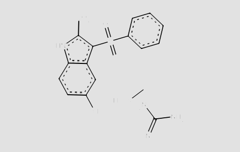 CS(=O)(=O)O.N=C(N)N.O=C(O)c1[nH]c2ccc(Cl)cc2c1S(=O)(=O)c1ccccc1